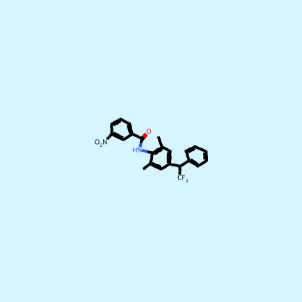 Cc1cc([C](c2ccccc2)C(F)(F)F)cc(C)c1NC(=O)c1cccc([N+](=O)[O-])c1